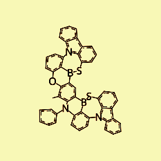 Cc1c2c(cc3c1N(c1ccccc1)c1cccc4c1B3Sc1cccc3c5ccccc5n-4c13)B1Sc3cccc4c5ccccc5n(c34)-c3cccc(c31)O2